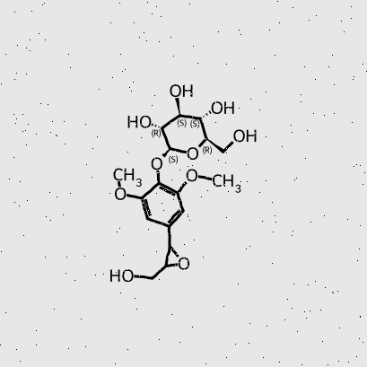 COc1cc(C2OC2CO)cc(OC)c1O[C@@H]1O[C@H](CO)[C@@H](O)[C@H](O)[C@H]1O